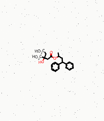 CC(CC(c1ccccc1)c1ccccc1)OC(=O)CC(O)(CC(=O)O)C(=O)O